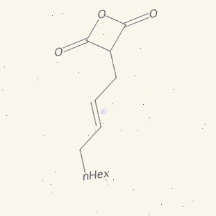 CCCCCCC/C=C/CC1C(=O)OC1=O